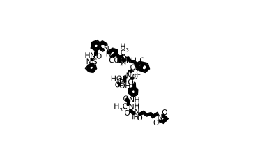 Cc1c(-c2ccc(N3CCc4cccc(C(=O)Nc5nc6ccccc6s5)c4C3)nc2C(=O)O)cnn1CCCC1(OCCN(CCP(=O)(O)O)C(=O)OCc2ccc(NC(=O)[C@H](C)NC(=O)[C@@H](NC(=O)CCCCCN3C(=O)C=CC3=O)C(C)C)cc2)CC2(C)CCCC(C)(C2)C1